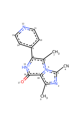 Cc1nc(C#N)n2c(C)c(-c3ccncc3)[nH]c(=O)c12